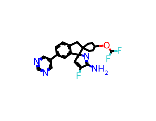 NC1=NC2(C=C1F)c1cc(-c3cncnc3)ccc1CC21CCC(OC(F)F)CC1